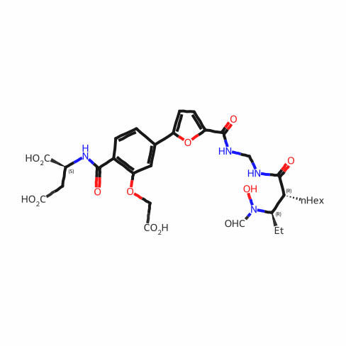 CCCCCC[C@@H](C(=O)NCNC(=O)c1ccc(-c2ccc(C(=O)N[C@@H](CC(=O)O)C(=O)O)c(OCC(=O)O)c2)o1)[C@@H](CC)N(O)C=O